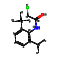 CC(C)c1cccc(C(C)(C)C)c1NC(=O)CCl